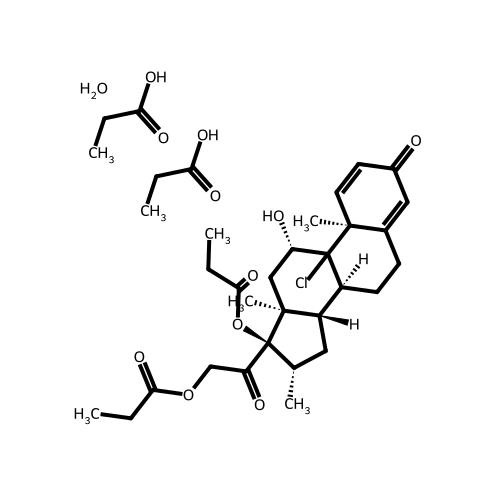 CCC(=O)O.CCC(=O)O.CCC(=O)OCC(=O)[C@@]1(OC(=O)CC)[C@@H](C)C[C@H]2[C@@H]3CCC4=CC(=O)C=C[C@]4(C)C3(Cl)[C@@H](O)C[C@@]21C.O